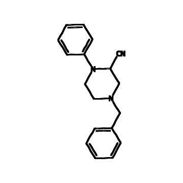 N#CC1CN(Cc2ccccc2)CCN1c1ccccc1